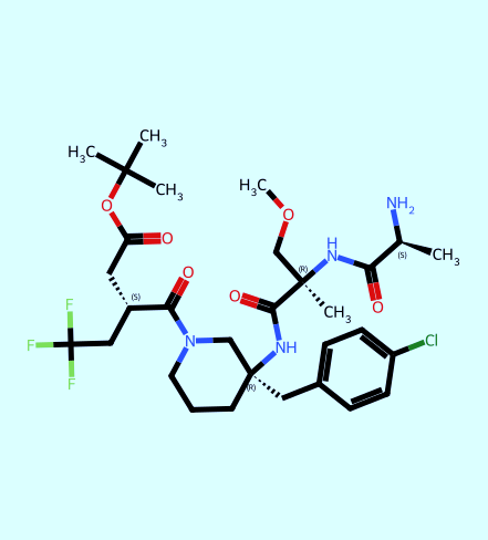 COC[C@@](C)(NC(=O)[C@H](C)N)C(=O)N[C@@]1(Cc2ccc(Cl)cc2)CCCN(C(=O)[C@@H](CC(=O)OC(C)(C)C)CC(F)(F)F)C1